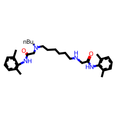 CCCCN(CCCCCCNCC(=O)Nc1c(C)cccc1C)CC(=O)Nc1c(C)cccc1C